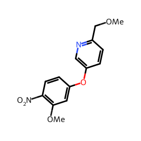 COCc1ccc(Oc2ccc([N+](=O)[O-])c(OC)c2)cn1